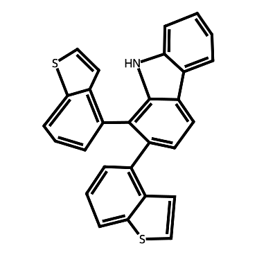 c1ccc2c(c1)[nH]c1c(-c3cccc4sccc34)c(-c3cccc4sccc34)ccc12